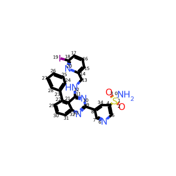 NS(=O)(=O)c1cncc(-c2nc(NCc3cccc(I)n3)c3c(-c4ccccc4)cccc3n2)c1